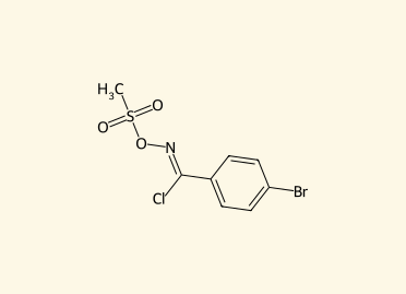 CS(=O)(=O)ON=C(Cl)c1ccc(Br)cc1